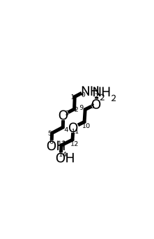 NCCOCCO.NOCCOCCO